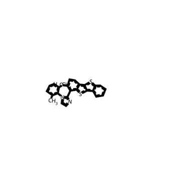 Cc1cccc(C)c1-n1ccnc1-c1c(C)ccc2c1sc1c3ccccc3sc21